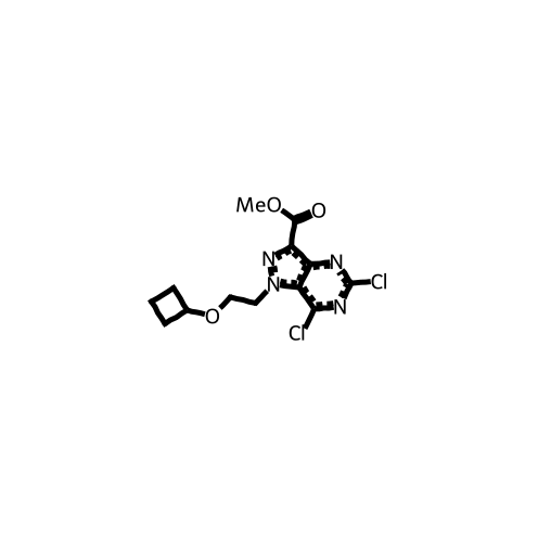 COC(=O)c1nn(CCOC2CCC2)c2c(Cl)nc(Cl)nc12